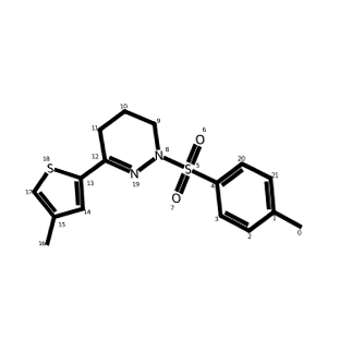 Cc1ccc(S(=O)(=O)N2CCCC(c3cc(C)cs3)=N2)cc1